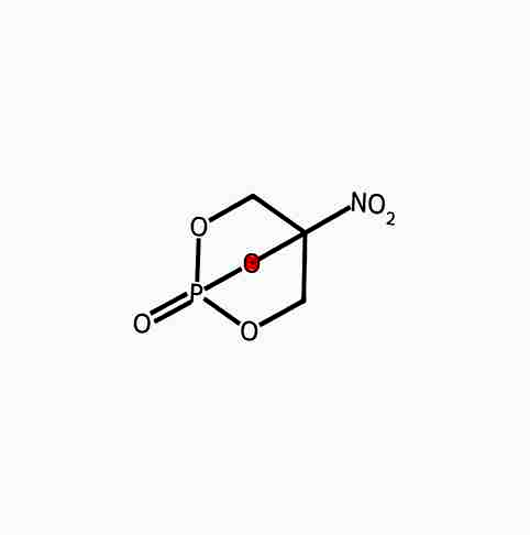 O=[N+]([O-])C12COP(=O)(OC1)OC2